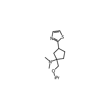 CC(C)OCC1(N(C)C)CCC(c2nccs2)C1